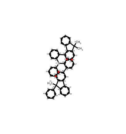 CC1(C)c2ccccc2-c2c(-c3ccccc3N(c3ccccc3)c3ccccc3-c3ccc4c(c3)-c3ccccc3C4(C)c3ccccc3)cccc21